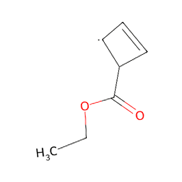 CCOC(=O)C1[CH]C=C1